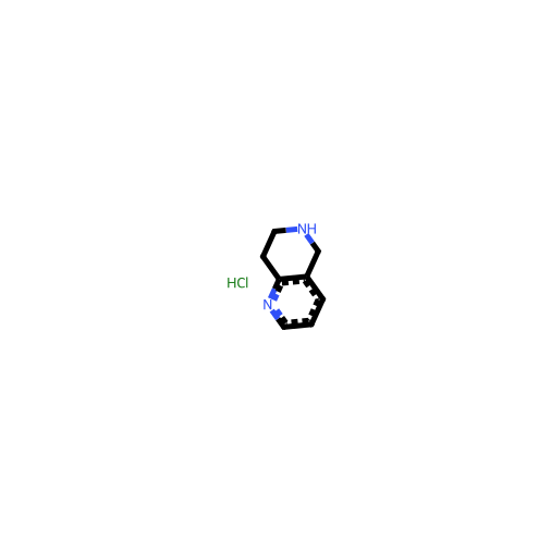 Cl.c1cnc2c(c1)CNCC2